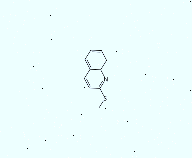 CSC1=NC2CC=CC=C2C=C1